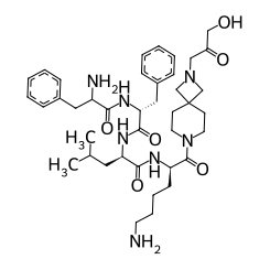 CC(C)C[C@@H](NC(=O)[C@@H](Cc1ccccc1)NC(=O)C(N)Cc1ccccc1)C(=O)N[C@H](CCCCN)C(=O)N1CCC2(CC1)CN(CC(=O)CO)C2